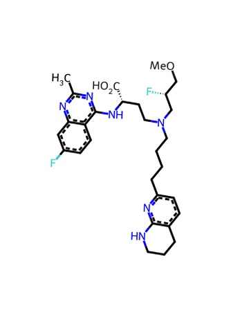 COC[C@@H](F)CN(CCCCc1ccc2c(n1)NCCC2)CC[C@H](Nc1nc(C)nc2cc(F)ccc12)C(=O)O